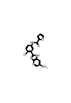 O=C(Nc1ccc(Cl)c(-c2nc3ncc([N+](=O)[O-])cc3[nH]2)c1)c1ccco1